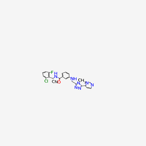 Cn1c(CNc2cccc(C(=O)N[C@H](C#N)c3c(F)cccc3Cl)c2)nnc1-c1ccncn1